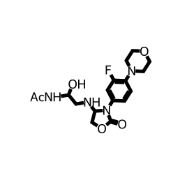 CC(=O)NC(O)CNC1COC(=O)N1c1ccc(N2CCOCC2)c(F)c1